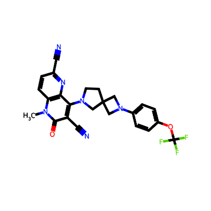 Cn1c(=O)c(C#N)c(N2CCC3(CN(c4ccc(OC(F)(F)F)cc4)C3)C2)c2nc(C#N)ccc21